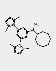 CC(=O)OC(c1cc(-n2c(C)ccc2C)nc(-n2c(C)ccc2C)c1)C1CCCCCCC1